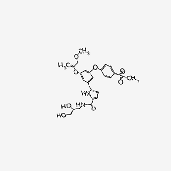 COC[C@H](C)Oc1cc(Oc2ccc(S(C)(=O)=O)cc2)cc(-c2ccc(C(=O)NCC(O)CO)[nH]2)c1